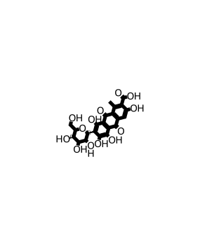 Cc1c(C(=O)O)c(O)cc2c1C(=O)c1c(O)c([C@@H]3OC(CO)[C@@H](O)C(O)C3O)c(O)c(O)c1C2=O